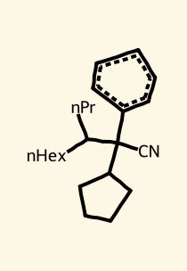 CCCCCCC(CCC)C(C#N)(c1ccccc1)C1CCCC1